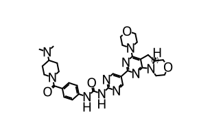 CN(C)C1CCN(C(=O)c2ccc(NC(=O)Nc3ncc(-c4nc(N5CCOCC5)c5c(n4)N4CCOC[C@H]4C5)cn3)cc2)CC1